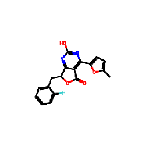 Cc1ccc(-c2nc(O)nc3c2C(=O)OC3Cc2ccccc2F)o1